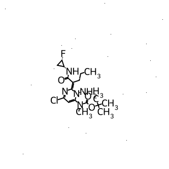 CCC/C(C(=O)N[C@@H]1C[C@@H]1F)=C1/N=C(Cl)C=C(N(C)C(=O)OC(C)(C)C)N1N